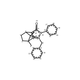 CC12CCC(c3c1n(Cc1ccccc1)n(-c1ccccc1)c3=O)C2(C)C